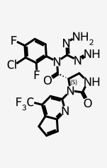 N=NC(=NN)N(C(=O)[C@@H]1CNC(=O)N1c1cc(C(F)(F)F)c2c(n1)C=CC2)c1ccc(F)c(Cl)c1F